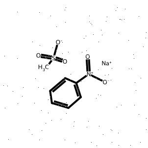 CS(=O)(=O)[O-].O=[N+]([O-])c1ccccc1.[Na+]